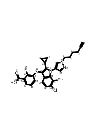 C#CCCCCn1cc(-n2c(C3CC3)c(Sc3cccc(C(=O)O)c3F)c3ccc(Cl)c(F)c32)cn1